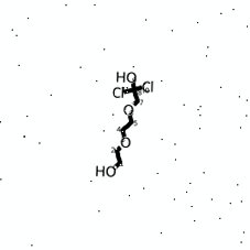 OCCOCCOCC(O)(Cl)Cl